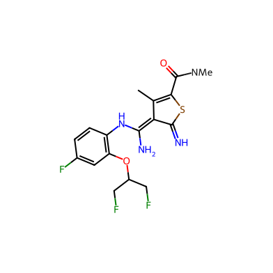 CNC(=O)C1=C(C)/C(=C(/N)Nc2ccc(F)cc2OC(CF)CF)C(=N)S1